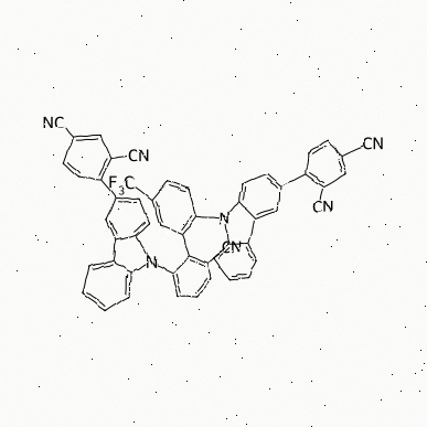 N#Cc1ccc(-c2ccc3c(c2)c2ccccc2n3-c2ccc(C(F)(F)F)cc2-c2c(C#N)cccc2-n2c3ccccc3c3cc(-c4ccc(C#N)cc4C#N)ccc32)c(C#N)c1